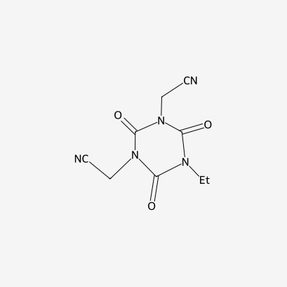 CCn1c(=O)n(CC#N)c(=O)n(CC#N)c1=O